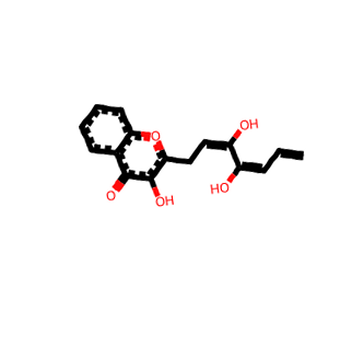 C=C/C=C(O)\C(O)=C/Cc1oc2ccccc2c(=O)c1O